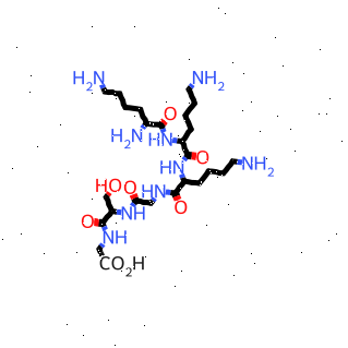 NCCCCC(N)C(=O)NC(CCCCN)C(=O)NC(CCCCN)C(=O)NCC(=O)NC(CO)C(=O)NCC(=O)O